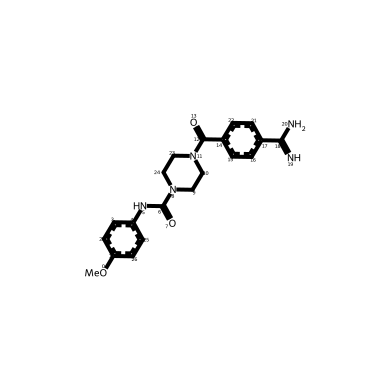 COc1ccc(NC(=O)N2CCN(C(=O)c3ccc(C(=N)N)cc3)CC2)cc1